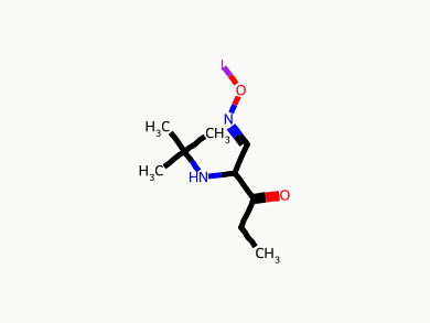 CCC(=O)C(C=NOI)NC(C)(C)C